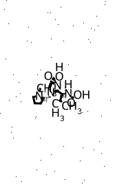 CC(C)[C@H](NC(=O)O)c1nccn1C[C@@H]1CCCN1C.O=CO